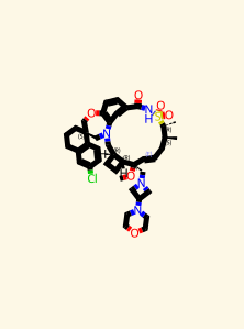 CO[C@]1(CN2CC(N3CCOCC3)C2)/C=C/C[C@H](C)[C@@H](C)S(=O)(=O)NC(=O)c2ccc3c(c2)N(C[C@@H]2CC[C@H]21)C[C@@]1(CCCc2cc(Cl)ccc21)CO3